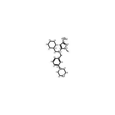 Cn1nc(C(C)(C)C)cc1N(Cc1cccc(N2CCOCC2)c1)CC1CCCCC1